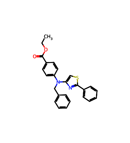 CCOC(=O)c1ccc(N(Cc2ccccc2)c2csc(-c3ccccc3)n2)cc1